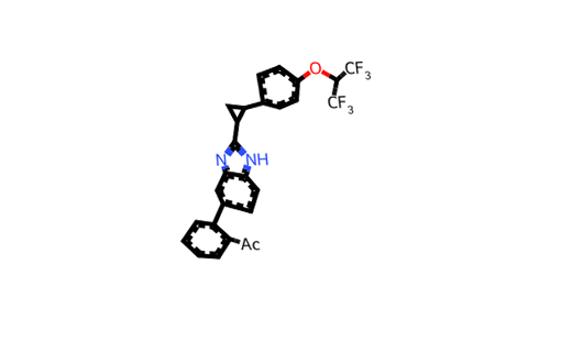 CC(=O)c1ccccc1-c1ccc2[nH]c(C3CC3c3ccc(OC(C(F)(F)F)C(F)(F)F)cc3)nc2c1